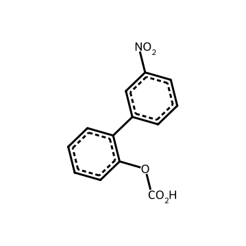 O=C(O)Oc1ccccc1-c1cccc([N+](=O)[O-])c1